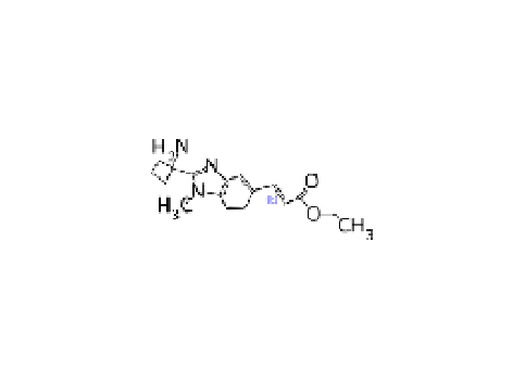 CCOC(=O)/C=C/c1ccc2c(c1)nc(C1(N)CCC1)n2C